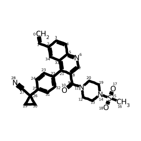 C=Cc1ccc2ncc(C(=O)N3CCN(S(C)(=O)=O)CC3)c(-c3ccc(C4(C#N)CC4)cc3)c2c1